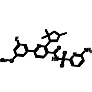 CCCCOc1cc(F)cc(-c2ccc(C(=O)NS(=O)(=O)c3cccc(N)n3)c(C3=CC(C)CC3(C)C)n2)c1